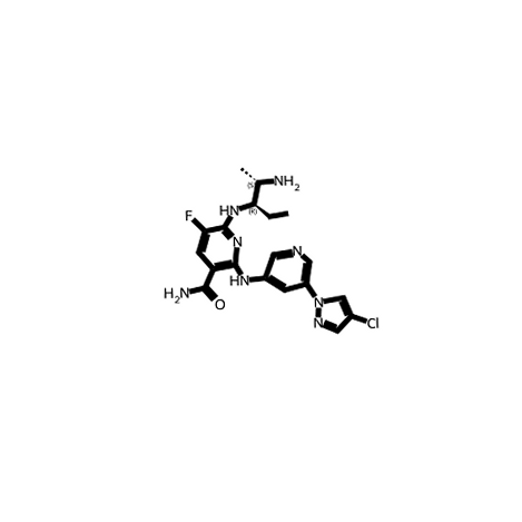 CC[C@@H](Nc1nc(Nc2cncc(-n3cc(Cl)cn3)c2)c(C(N)=O)cc1F)[C@H](C)N